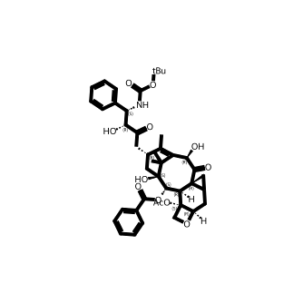 CC(=O)O[C@@]12CO[C@@H]1CC1C[C@@]13C(=O)[C@H](O)C1=C(C)[C@@H](CC(=O)[C@H](O)[C@@H](NC(=O)OC(C)(C)C)c4ccccc4)C[C@@](O)([C@@H](OC(=O)c4ccccc4)[C@H]23)C1(C)C